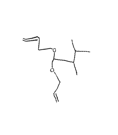 C=CCOC(OCC=C)C(C)C(C)C